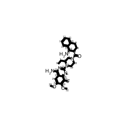 CCC1CN(C(=O)[C@@H]2CCc3ccccc3[C@@H]2N)CCN1c1nc(N)c2cc(OC)c(OC)c(F)c2n1